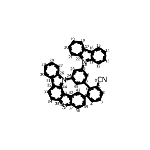 N#Cc1ccccc1-c1cc(-n2c3ccccc3c3ccccc32)cc(-n2c3ccccc3c3ccc4sc5ccccc5c4c32)c1